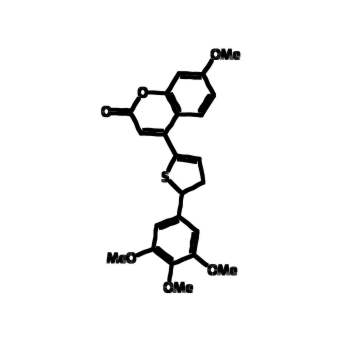 COc1ccc2c(C3=CCC(c4cc(OC)c(OC)c(OC)c4)S3)cc(=O)oc2c1